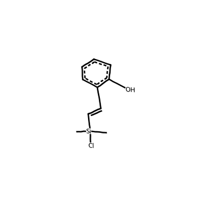 C[Si](C)(Cl)C=Cc1ccccc1O